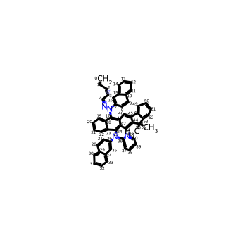 C=C/C=C\C=N/N(c1ccc2ccccc2c1)c1c2ccccc2c(N(c2ccc3ccccc3c2)c2ccccn2)c2cc3c(cc12)-c1ccccc1C3(C)C